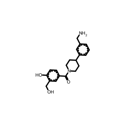 NCc1cccc(C2CCN(C(=O)c3ccc(O)c(CO)c3)CC2)c1